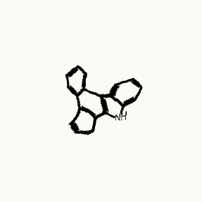 C1=Cc2c(c3[nH]c4ccccc4c3c3ccccc23)C1